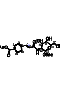 COC(=O)c1ccc(/C=C/C(=O)NC2C(OC)OC(CO)C(O)C2O)cc1